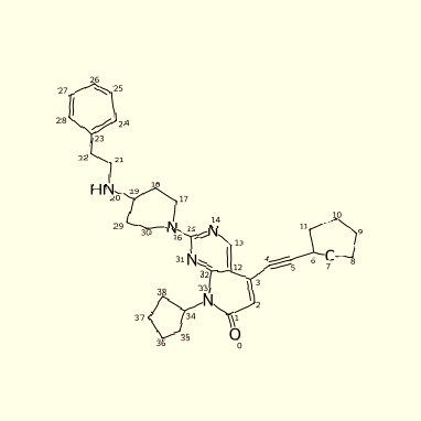 O=c1cc(C#CC2CCCCC2)c2cnc(N3CCC(NCCc4ccccc4)CC3)nc2n1C1CCCC1